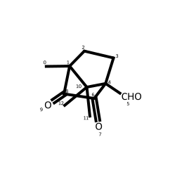 CC12CCC(C=O)(C(=O)C1=O)C2(C)C